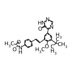 COc1c(C=Cc2ccc(NS(C)(=O)=O)cc2)cc(-c2ncn[nH]c2=O)cc1C(C)(C)C